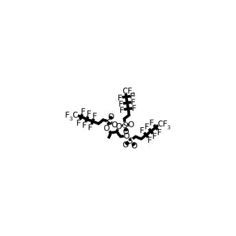 CC(OS(=O)(=O)CCC(F)(F)C(F)(F)C(F)(F)C(F)(F)F)C(COS(=O)(=O)CCC(F)(F)C(F)(F)C(F)(F)C(F)(F)F)OS(=O)(=O)CCC(F)(F)C(F)(F)C(F)(F)C(F)(F)F